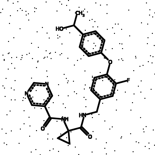 CC(O)c1ccc(Oc2ccc(CNC(=O)C3(NC(=O)c4cncnc4)CC3)cc2F)cc1